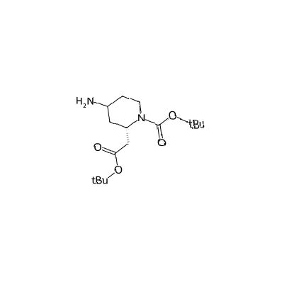 CC(C)(C)OC(=O)C[C@@H]1CC(N)CCN1C(=O)OC(C)(C)C